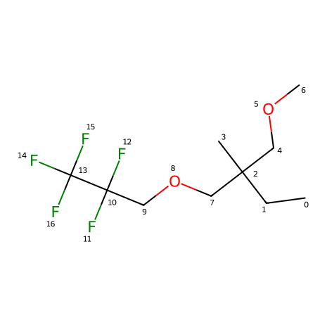 CCC(C)(COC)COCC(F)(F)C(F)(F)F